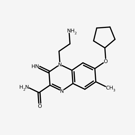 Cc1cc2nc(C(N)=O)c(=N)n(CCN)c2cc1OC1CCCC1